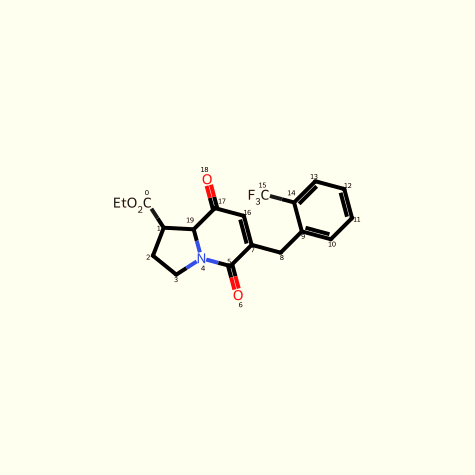 CCOC(=O)C1CCN2C(=O)C(Cc3ccccc3C(F)(F)F)=CC(=O)C12